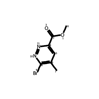 COC(=O)c1cc(C)c(Br)nn1